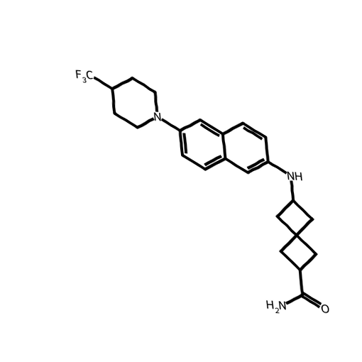 NC(=O)C1CC2(CC(Nc3ccc4cc(N5CCC(C(F)(F)F)CC5)ccc4c3)C2)C1